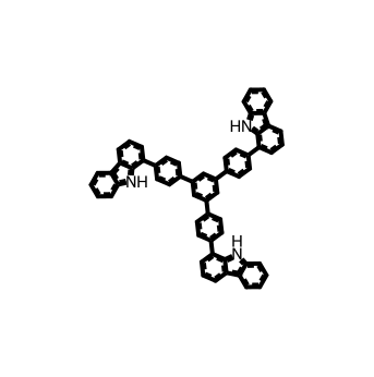 c1ccc2c(c1)[nH]c1c(-c3ccc(-c4cc(-c5ccc(-c6cccc7c6[nH]c6ccccc67)cc5)cc(-c5ccc(-c6cccc7c6[nH]c6ccccc67)cc5)c4)cc3)cccc12